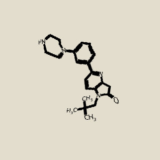 CC(C)(C)CN1C(=O)Cc2nc(-c3cccc(N4CCNCC4)c3)ccc21